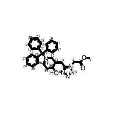 COC(=O)Cn1nnnc1C=C1CN(C(c2ccccc2)(c2ccccc2)c2ccccc2)CCC1O